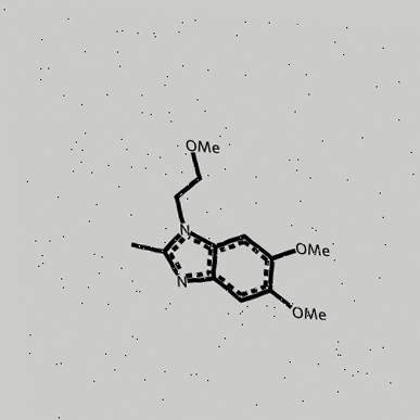 COCCn1c(C)nc2cc(OC)c(OC)cc21